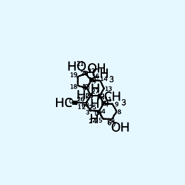 C#C[C@@H]1C[C@H]2C[C@@H](O)CC[C@]2(C)[C@H]2CC[C@@]3(C)[C@@H](CCC3(O)O)[C@H]12